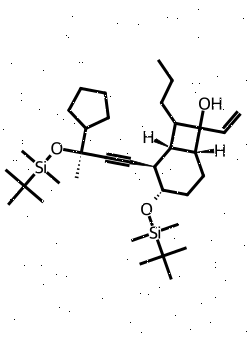 C=CC1(O)C(CCC)[C@H]2[C@H](C#C[C@@](C)(O[Si](C)(C)C(C)(C)C)C3CCCC3)[C@@H](O[Si](C)(C)C(C)(C)C)CC[C@H]21